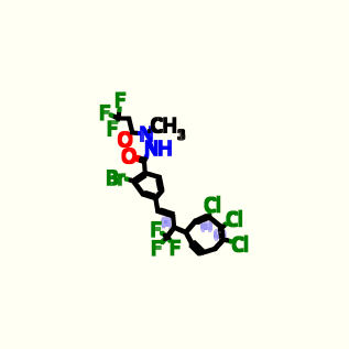 CN(NC(=O)c1ccc(/C=C/C(C2C#CC/C(Cl)=C(Cl)\C(Cl)=C/2)C(F)(F)F)cc1Br)C(=O)CC(F)(F)F